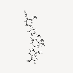 Cc1cc(-n2nc(C)c(CN3CC(c4ccc5c(c4C)COC5=O)NC(C)(C)C3)n2)ncc1C#N